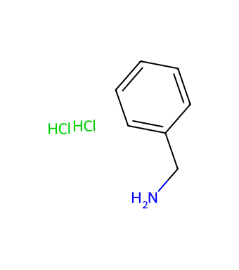 Cl.Cl.NCc1ccccc1